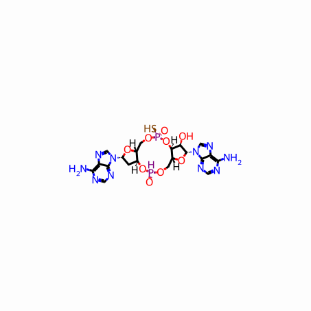 Nc1ncnc2c1ncn2[C@@H]1O[C@@H]2CO[PH](=O)O[C@H]3C[C@H](n4cnc5c(N)ncnc54)O[C@@H]3CO[P@@](=O)(S)O[C@H]2[C@H]1O